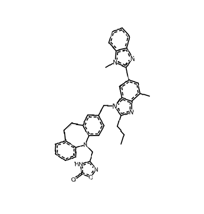 CCCc1nc2c(C)cc(-c3nc4ccccc4n3C)cc2n1Cc1ccc2c(c1)CCc1ccccc1N2Cc1noc(=O)[nH]1